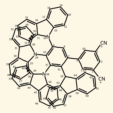 N#Cc1cc(C#N)cc(-c2cc(-n3c4ccccc4c4ccccc43)c(-n3c4ccccc4c4ccccc43)c(-n3c4ccccc4c4ccccc43)c2C2c3ccccc3-c3ccccc32)c1